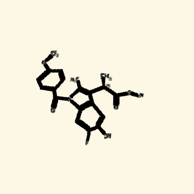 CCCOC(=O)[C@H](C)c1c(C)n(C(=O)c2ccc(OC(F)(F)F)cc2)c2cc(F)c(O)cc12